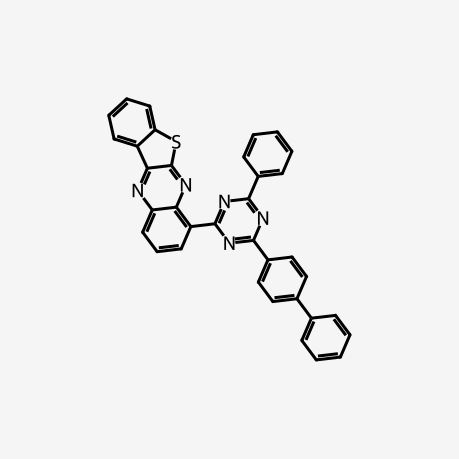 c1ccc(-c2ccc(-c3nc(-c4ccccc4)nc(-c4cccc5nc6c(nc45)sc4ccccc46)n3)cc2)cc1